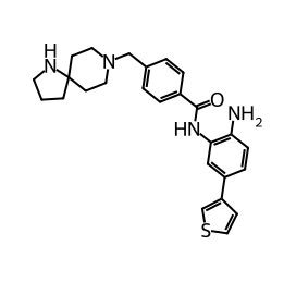 Nc1ccc(-c2ccsc2)cc1NC(=O)c1ccc(CN2CCC3(CCCN3)CC2)cc1